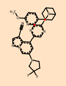 COc1ccc(CN2C3CC2CN(c2cnc(-c4cc(N5CCC(F)(F)C5)cn5ncc(C#N)c45)cn2)C3)cn1